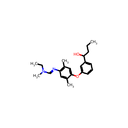 CCCC(O)c1cccc(Oc2cc(C)c(N=CN(C)CC)cc2C)c1